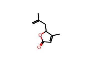 C=C(C)CC1OC(=O)C=C1C